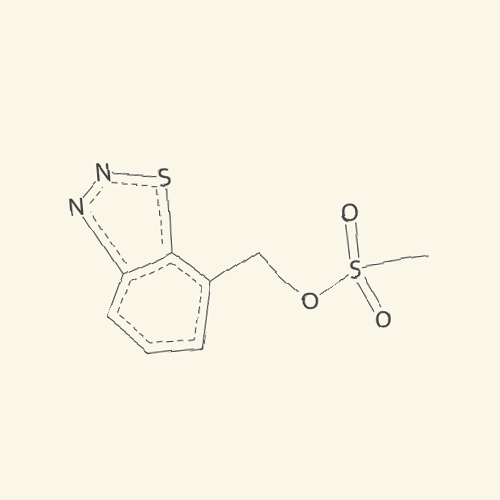 CS(=O)(=O)OCc1cccc2nnsc12